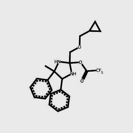 CC1(c2ccccc2)NC(COCC2CC2)(OC(=O)C(F)(F)F)NC1c1ccccc1